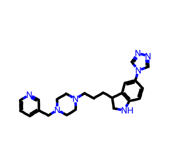 c1cncc(CN2CCN(CCCC3CNc4ccc(-n5cnnc5)cc43)CC2)c1